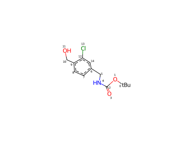 CC(C)(C)OC(=O)NCc1ccc(CO)c(Cl)c1